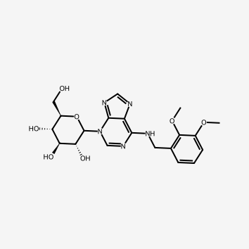 COc1cccc(CNc2ncn(C3O[C@H](CO)[C@@H](O)[C@H](O)[C@H]3O)c3ncnc2-3)c1OC